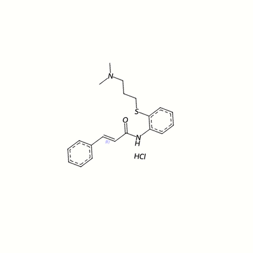 CN(C)CCCSc1ccccc1NC(=O)/C=C/c1ccccc1.Cl